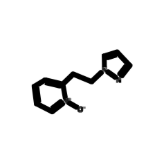 [O-][n+]1ccccc1CCn1cccn1